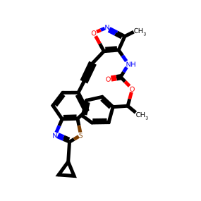 Cc1noc(C#Cc2ccc3nc(C4CC4)sc3c2)c1NC(=O)OC(C)c1ccccc1